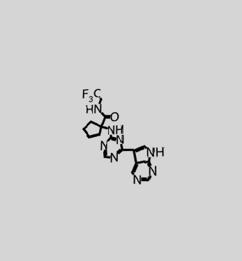 O=C(NCC(F)(F)F)C1(Nc2ncnc(-c3c[nH]c4ncncc34)n2)CCCC1